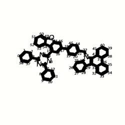 c1ccc(-c2nc(-c3ccccc3)nc(-c3cc(-c4ccc(Cn5c6ccccc6c6c7ccccc7c7ccccc7c65)cc4)cc4oc5ccccc5c34)n2)cc1